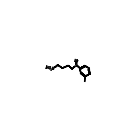 CCN(CCCCS(=O)(=O)O)c1cccc(C)c1